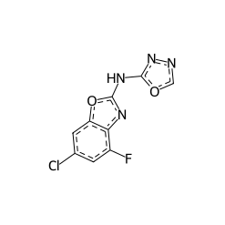 Fc1cc(Cl)cc2oc(Nc3nnco3)nc12